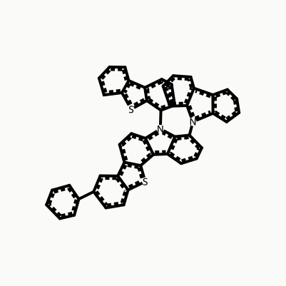 c1ccc(-c2ccc3sc4c(ccc5c4c4cccc(-n6c7ccccc7c7ccccc76)c4n5-c4cccc5c4sc4ccccc45)c3c2)cc1